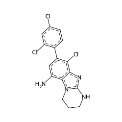 Nc1cc(-c2ccc(Cl)cc2Cl)c(Cl)c2nc3n(c12)CCCN3